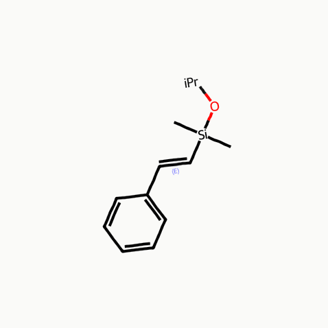 CC(C)O[Si](C)(C)/C=C/c1ccccc1